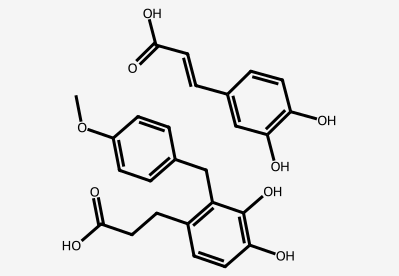 COc1ccc(Cc2c(CCC(=O)O)ccc(O)c2O)cc1.O=C(O)C=Cc1ccc(O)c(O)c1